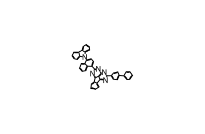 c1ccc(-c2ccc(-c3nc4c5c(nc(-c6ccc(-n7c8ccccc8c8ccccc87)c7ccccc67)nc5n3)-c3ccccc3-4)cc2)cc1